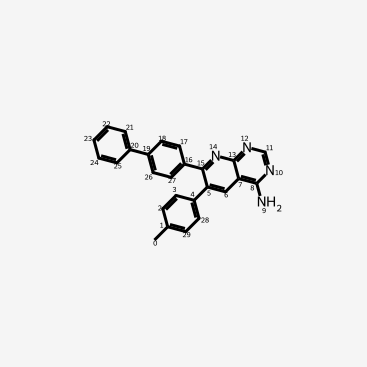 Cc1ccc(-c2cc3c(N)ncnc3nc2-c2ccc(-c3ccccc3)cc2)cc1